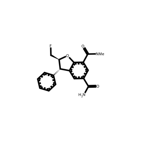 CNC(=O)c1cc(C(N)=O)cc2c1O[C@H](CF)[C@H]2c1ccccc1